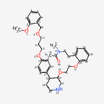 COc1ccccc1COCCCOc1ccc(C2CCNCC2OCCOc2ccccc2CCN(C)C(C)=O)cc1